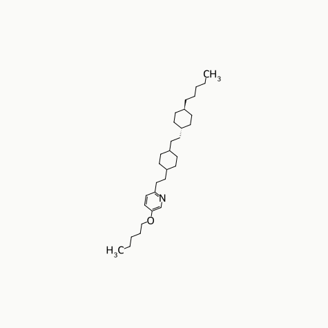 CCCCCOc1ccc(CCC2CCC(CC[C@H]3CC[C@H](CCCCC)CC3)CC2)nc1